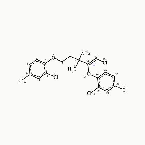 CC(C)(CCOc1ccc(Cl)cc1Cl)/C(=C/Cl)Oc1ccc(Cl)cc1Cl